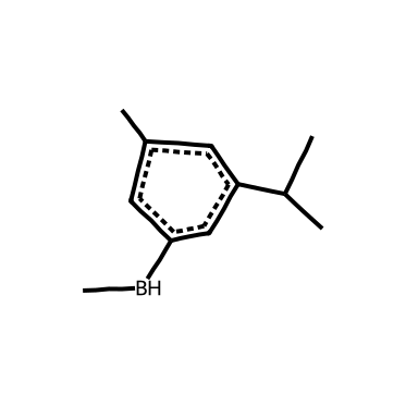 CBc1cc(C)cc(C(C)C)c1